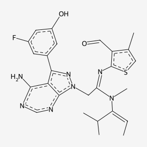 C/C=C(\C(C)C)N(C)/C(Cn1nc(-c2cc(O)cc(F)c2)c2c(N)ncnc21)=N\c1scc(C)c1C=O